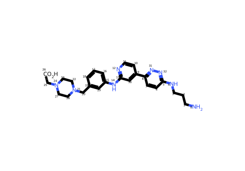 NCCCNc1ccc(-c2ccnc(Nc3cccc(CN4CCN(CC(=O)O)CC4)c3)c2)nn1